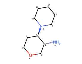 N[C@@H]1COCC[C@H]1N1CCCCC1